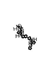 CCC(=O)N[C@H](C(=O)N1CCC[C@H]1C(=O)Nc1ccc2cc(-c3ccc(NC(=O)[C@@H]4CCCN4C(=O)Cc4ccccc4)cc3)ccc2c1)C(C)C